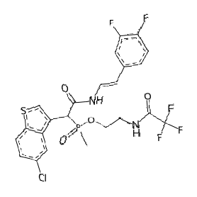 CP(=O)(OCCNC(=O)C(F)(F)F)C(C(=O)N/C=C/c1ccc(F)c(F)c1)c1csc2ccc(Cl)cc12